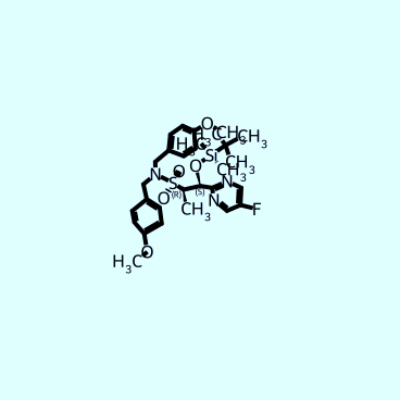 COc1ccc(CN(Cc2ccc(OC)cc2)S(=O)(=O)[C@H](C)[C@@H](O[Si](C)(C)C(C)(C)C)c2ncc(F)cn2)cc1